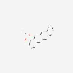 C=CS(=O)(=O)c1cccc2cc3cc4ccccc4cc3cc12